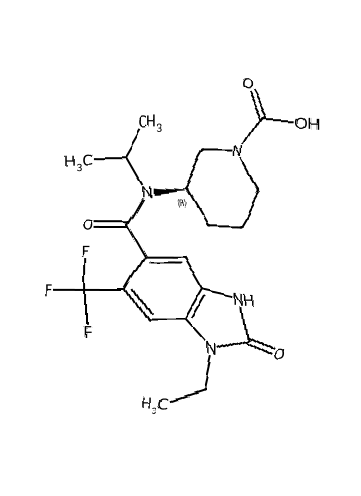 CCn1c(=O)[nH]c2cc(C(=O)N(C(C)C)[C@@H]3CCCN(C(=O)O)C3)c(C(F)(F)F)cc21